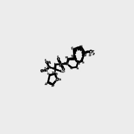 O=CN(O)C(I)(CS(=O)(=O)N1CCc2cc(C(F)(F)F)ccc2C1)[C@H]1CCCO1